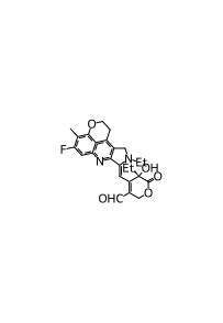 CCN1Cc2c(nc3cc(F)c(C)c4c3c2CCO4)/C1=C/C1=C(C=O)COC(=O)[C@]1(O)CC